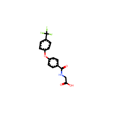 O=C(O)CNC(=O)c1ccc(Oc2ccc(C(F)(F)F)cc2)cc1